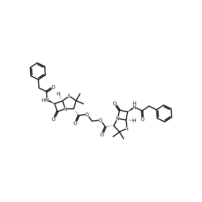 CC1(C)S[C@@H]2[C@H](NC(=O)Cc3ccccc3)C(=O)N2[C@H]1C(=O)OCOC(=O)[C@@H]1N2C(=O)[C@@H](NC(=O)Cc3ccccc3)[C@H]2SC1(C)C